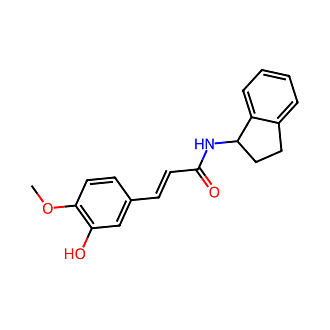 COc1ccc(/C=C/C(=O)NC2CCc3ccccc32)cc1O